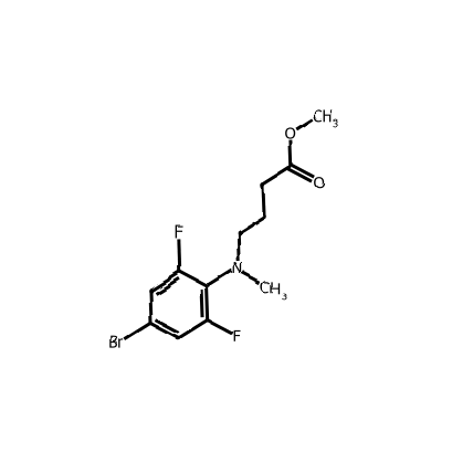 COC(=O)CCCN(C)c1c(F)cc(Br)cc1F